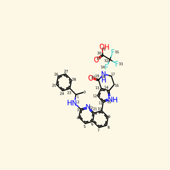 CC(Nc1ccc2cccc(-c3cc4c([nH]3)CCNC4=O)c2n1)c1ccccc1.O=C(O)C(F)(F)F